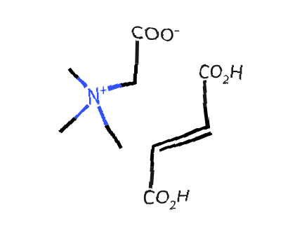 C[N+](C)(C)CC(=O)[O-].O=C(O)/C=C/C(=O)O